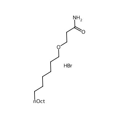 Br.CCCCCCCCCCCCCCOCCC(N)=O